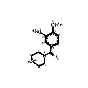 COc1ccc(C(=O)N2CCNCC2)cc1C(C)(C)C